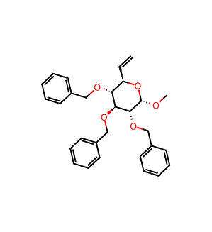 C=C[C@H]1O[C@H](OC)[C@H](OCc2ccccc2)[C@@H](OCc2ccccc2)[C@@H]1OCc1ccccc1